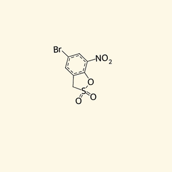 O=[N+]([O-])c1cc(Br)cc2c1OS(=O)(=O)C2